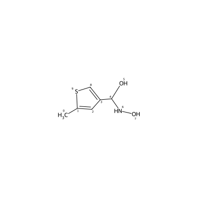 Cc1cc(C(O)NO)cs1